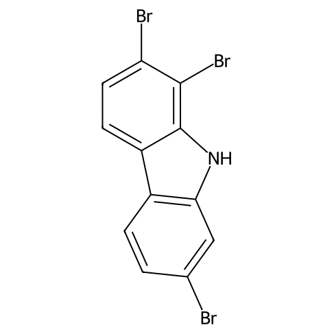 Brc1ccc2c(c1)[nH]c1c(Br)c(Br)ccc12